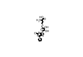 NC(CCSC[C@H]1O[C@@H](n2cnc3c(N4CCCC4)nc(Cl)nc32)[C@H](O)[C@@H]1O)C(=O)O